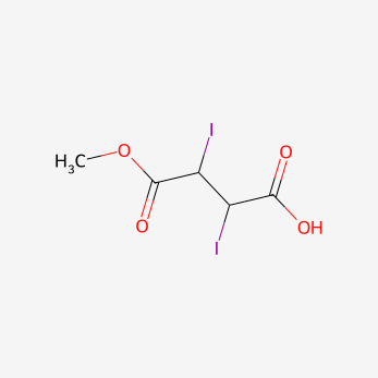 COC(=O)C(I)C(I)C(=O)O